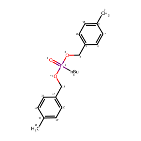 CCCCP(=O)(OCc1ccc(C)cc1)OCc1ccc(C)cc1